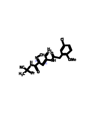 C=C/C(=C\C(=N/C)C(=O)NC(C)(C#N)C(C)C)NC(=O)Cc1cc(Cl)ccc1OC